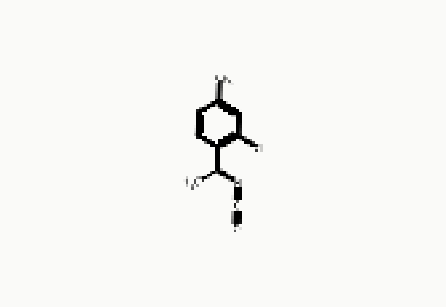 C[C@H](N=C=O)c1ccc(C(F)(F)F)cc1Cl